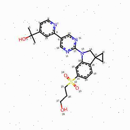 CC(C)(O)c1ccnc(-c2cnc(N3CC4(CC4)c4ccc(S(=O)(=O)CCCO)cc43)nc2)c1